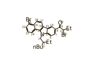 CCCCC(CC)Cn1c2ccc(C(=O)C(Br)CC)cc2c2ccc3c(Br)cccc3c21